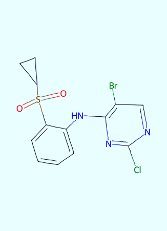 O=S(=O)(c1ccccc1Nc1nc(Cl)ncc1Br)C1CC1